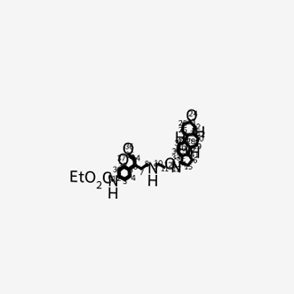 CCOC(=O)Nc1ccc2c(CCNCCO/N=C3/CC[C@H]4[C@@H]5CC[C@H]6CC(=O)CC[C@]6(C)[C@H]5CC[C@]34C)cc(=O)oc2c1